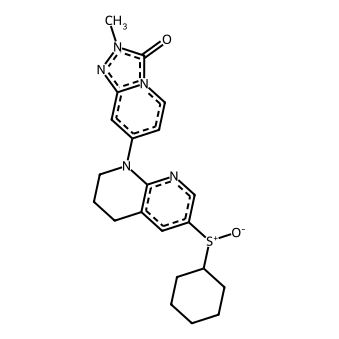 Cn1nc2cc(N3CCCc4cc([S+]([O-])C5CCCCC5)cnc43)ccn2c1=O